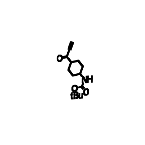 C#CC(=O)C1CCC(NC(=O)OC(C)(C)C)CC1